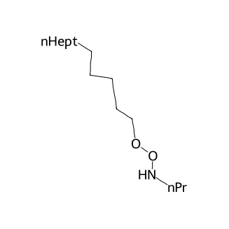 CCCCCCCCCCCCOONCCC